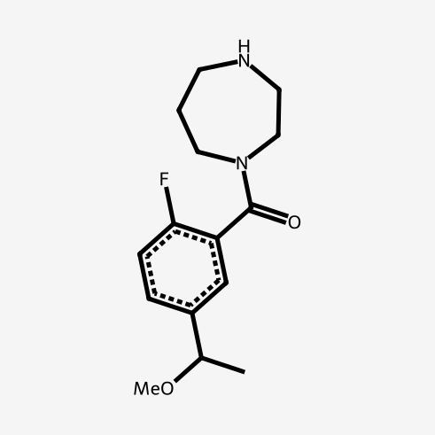 COC(C)c1ccc(F)c(C(=O)N2CCCNCC2)c1